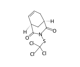 O=C1[C@@H]2CC=C[C@@H](C2)C(=O)N1SC(Cl)(Cl)Cl